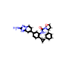 Nc1nc2cc(-c3ccc(C4CC4)c(NC(=O)N4OCC[C@H]4c4ccccc4)c3)ccn2n1